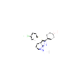 Cn1cccc2c(Sc3ccc(Cl)cc3)c(C3=CCC(O)CC3)nc1-2